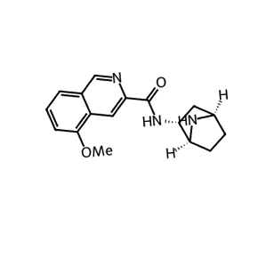 COc1cccc2cnc(C(=O)N[C@@H]3C[C@H]4CC[C@@H]3N4)cc12